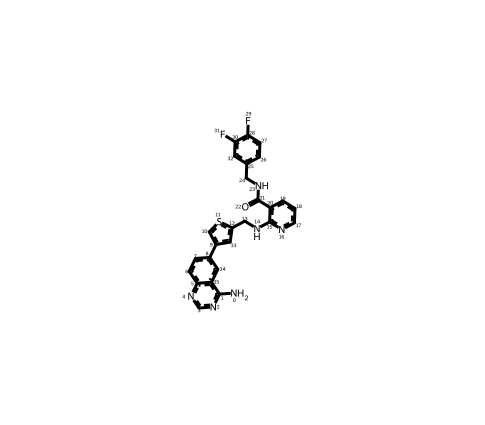 Nc1ncnc2ccc(-c3csc(CNc4ncccc4C(=O)NCc4ccc(F)c(F)c4)c3)cc12